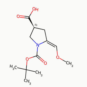 COC=C1C[C@H](C(=O)O)CN1C(=O)OC(C)(C)C